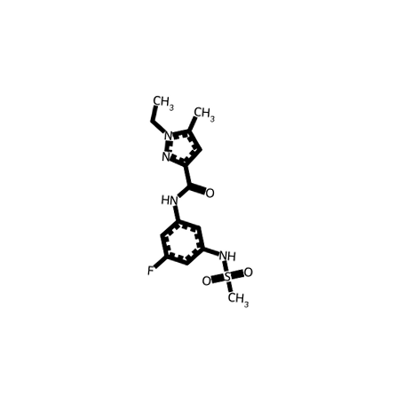 CCn1nc(C(=O)Nc2cc(F)cc(NS(C)(=O)=O)c2)cc1C